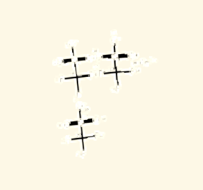 O=S(=O)([O-])C(F)(F)F.O=S(=O)([O-])C(F)(F)F.O=S(=O)([O-])C(F)(F)F.[Ce+3]